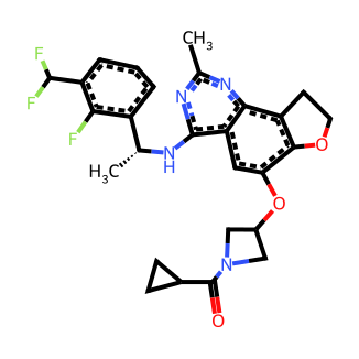 Cc1nc(N[C@H](C)c2cccc(C(F)F)c2F)c2cc(OC3CN(C(=O)C4CC4)C3)c3c(c2n1)CCO3